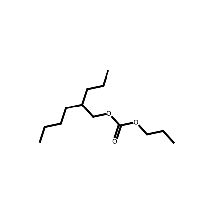 CCCCC(CCC)COC(=O)OCCC